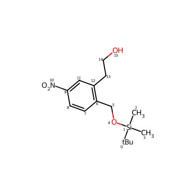 CC(C)(C)[Si](C)(C)OCc1ccc([N+](=O)[O-])cc1CCO